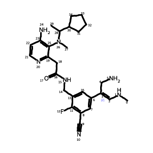 CN/C=C(\CN)c1cc(C#N)c(F)c(CNC(=O)Cc2nccc(N)c2N(C)C(C)C2CCCC2)c1